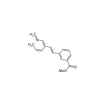 C=N/C=C(\C=C/C)/C=C/c1cccc(C(=O)OC)c1